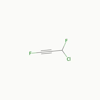 FC#CC(F)Cl